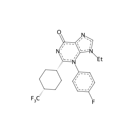 CCn1cnc2c(=O)nc([C@H]3CC[C@@H](C(F)(F)F)CC3)n(-c3ccc(F)cc3)c21